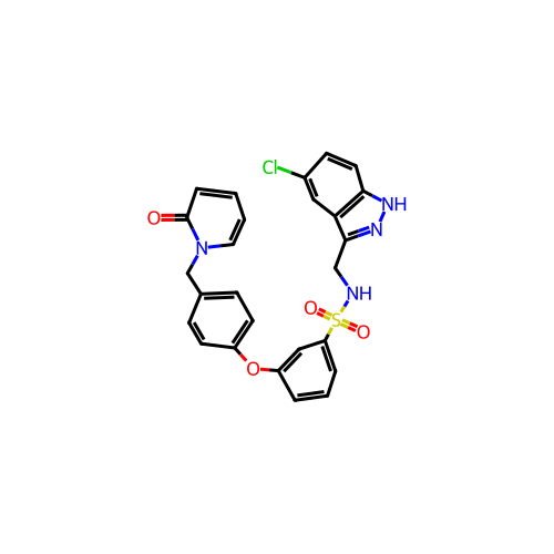 O=c1ccccn1Cc1ccc(Oc2cccc(S(=O)(=O)NCc3n[nH]c4ccc(Cl)cc34)c2)cc1